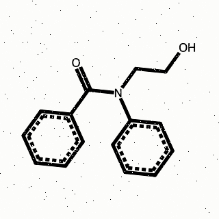 O=C(c1ccccc1)N(CCO)c1ccccc1